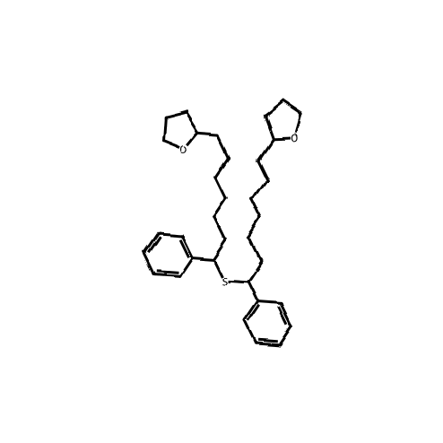 c1ccc(C(CCCCCCC2CCCO2)SC(CCCCCCC2CCCO2)c2ccccc2)cc1